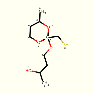 CC(O)CCO[Si]1(CS)OCCC(C)O1